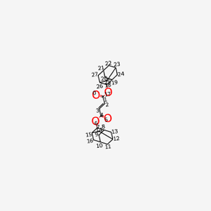 O=C(C=CC(=O)OC1C2CC3CC(C2)CC1C3)OC1C2CC3CC(C2)CC1C3